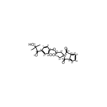 CC(C)(O)C(=O)c1ccc(OCC[N+]2(CC(=O)[O-])C(=O)c3ccccc3C2=O)cc1